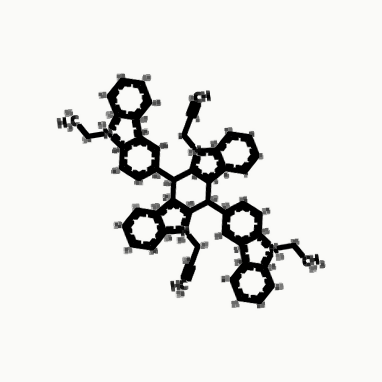 C#CCn1c2c(c3ccccc31)C(c1ccc3c(c1)c1ccccc1n3CC)c1c(c3ccccc3n1CC#C)C2c1ccc2c(c1)c1ccccc1n2CC